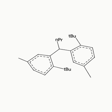 CCCC(c1cc(C)ccc1C(C)(C)C)c1cc(C)ccc1C(C)(C)C